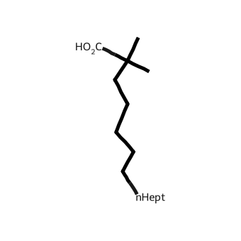 CCCCCCCCCCCCC(C)(C)C(=O)O